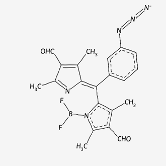 CC1=N/C(=C(/c2cccc(N=[N+]=[N-])c2)c2c(C)c(C=O)c(C)n2B(F)F)C(C)=C1C=O